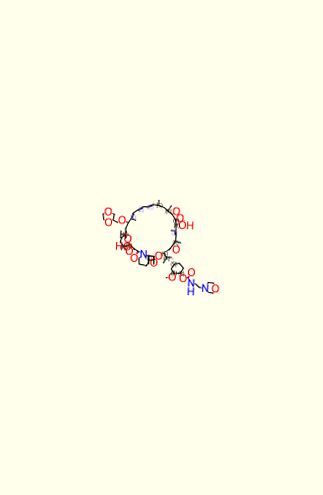 CO[C@@H]1C[C@H](C[C@@H](C)[C@@H]2CC(=O)[C@H](C)/C=C(\C)[C@@H](O)[C@@H](OC)C(=O)[C@H](C)C[C@H](C)/C=C/C=C/C=C(\C)C(OCC3COCCO3)C[C@@H]3CC[C@@H](C)[C@@](O)(O3)C(=O)C(=O)N3CCCC[C@H]3C(=O)O2)CC[C@H]1OC(=O)NCCN1CCOCC1